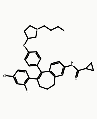 O=C(Nc1ccc2c(c1)CCCC(c1ccc(Cl)cc1Cl)=C2c1ccc(OC2CCN(CCCF)C2)cc1)C1CC1